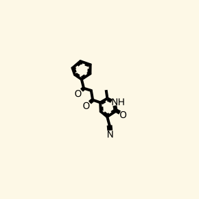 Cc1[nH]c(=O)c(C#N)cc1C(=O)CC(=O)c1ccccc1